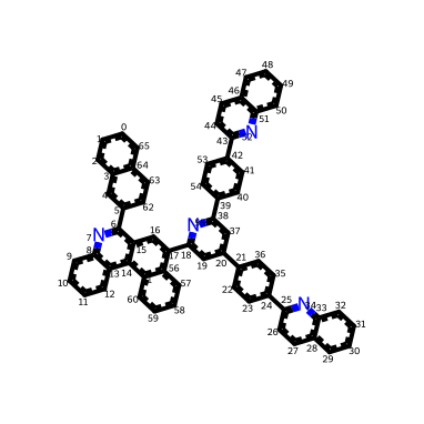 c1ccc2cc(-c3nc4ccccc4c4c3cc(-c3cc(-c5ccc(-c6ccc7ccccc7n6)cc5)cc(-c5ccc(-c6ccc7ccccc7n6)cc5)n3)c3ccccc34)ccc2c1